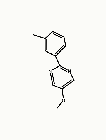 [CH2]c1cccc(-c2ncc(OC)cn2)c1